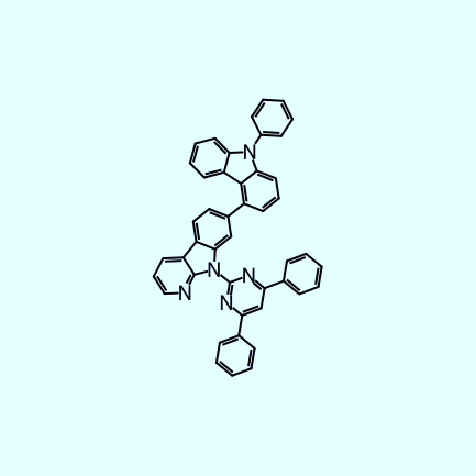 c1ccc(-c2cc(-c3ccccc3)nc(-n3c4cc(-c5cccc6c5c5ccccc5n6-c5ccccc5)ccc4c4cccnc43)n2)cc1